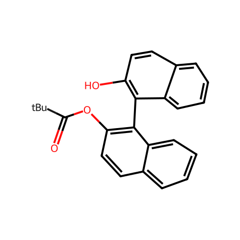 CC(C)(C)C(=O)Oc1ccc2ccccc2c1-c1c(O)ccc2ccccc12